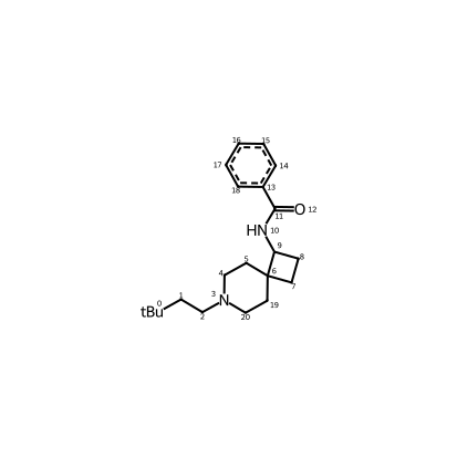 CC(C)(C)CCN1CCC2(CCC2NC(=O)c2ccccc2)CC1